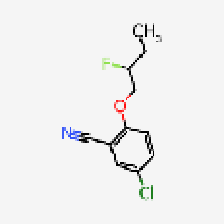 CC[C@H](F)COc1ccc(Cl)cc1C#N